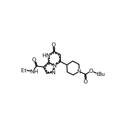 CCNC(=O)c1cnn2c(C3CCN(C(=O)OC(C)(C)C)CC3)cc(=O)[nH]c12